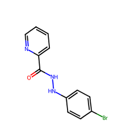 O=C(NNc1ccc(Br)cc1)c1ccccn1